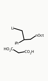 O=C(O)CC(=O)O.[Li][CH2]C(CCCCCCCCC)C(C)C